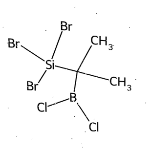 CC(C)(B(Cl)Cl)[Si](Br)(Br)Br